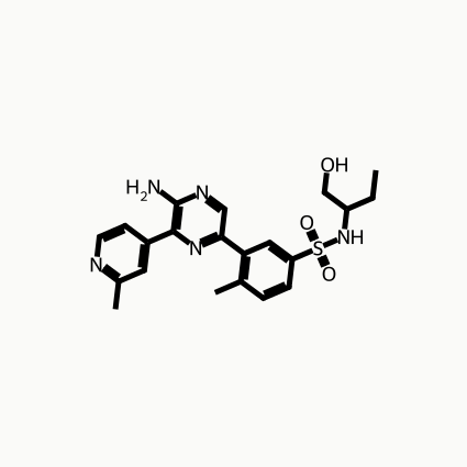 CCC(CO)NS(=O)(=O)c1ccc(C)c(-c2cnc(N)c(-c3ccnc(C)c3)n2)c1